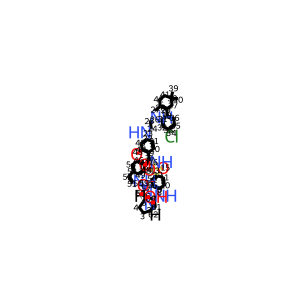 CN1[C@@H]2CC[C@H]1CC(Nc1ccc(S(=O)(=O)NC(=O)c3ccc(NCCNCC4=C(c5ccc(Cl)cc5)CC(C)(C)CC4)cc3Oc3ccc4[nH]ccc4c3)cc1[N+](C)([O-])O)C2